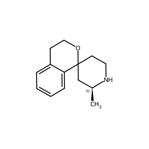 C[C@H]1CC2(CCN1)OCCc1ccccc12